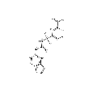 C=C(C)c1cccc(C(C)(C)NC(=O)Nc2ccc3c(n2)C=CC3)c1